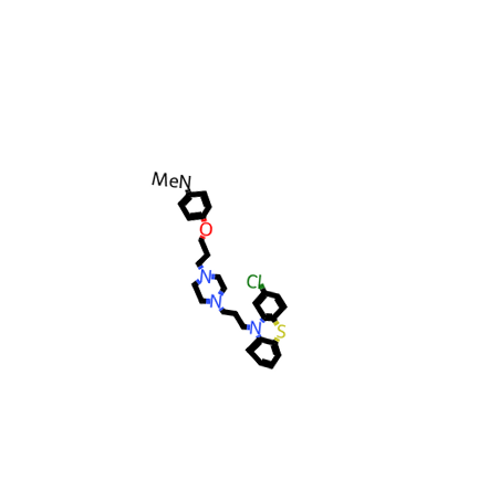 CNc1ccc(OCCCN2CCN(CCCN3c4ccccc4Sc4ccc(Cl)cc43)CC2)cc1